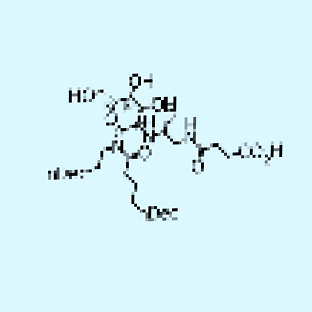 CCCCCCCCCCCCCC(=O)N(CCCCCCCCCCCC)[C@@H]1O[C@H](CO)[C@@H](O)[C@H](O)[C@H]1NC(=O)CNC(=O)CCC(=O)O